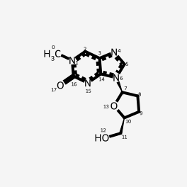 Cn1cc2ncn([C@H]3CC[C@@H](CO)O3)c2nc1=O